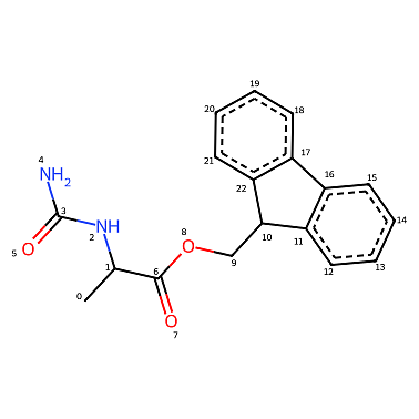 CC(NC(N)=O)C(=O)OCC1c2ccccc2-c2ccccc21